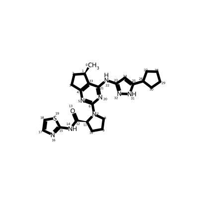 C[C@@H]1CCc2nc(N3CCC[C@H]3C(=O)Nc3nccs3)nc(Nc3cc(C4CCCC4)[nH]n3)c21